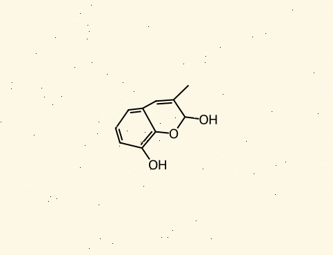 CC1=Cc2cccc(O)c2OC1O